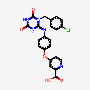 O=C(O)c1cc(Oc2ccc(/N=c3\[nH]c(=O)[nH]c(=O)n3Cc3ccc(Cl)cc3)cc2)ccn1